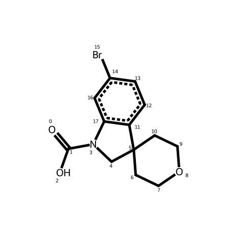 O=C(O)N1CC2(CCOCC2)c2ccc(Br)cc21